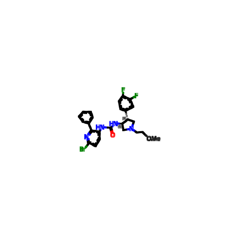 COCCN1C[C@@H](NC(=O)Nc2ccc(Br)nc2-c2ccccc2)[C@H](c2ccc(F)c(F)c2)C1